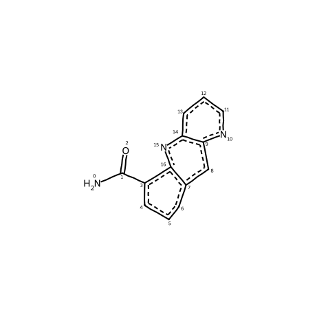 NC(=O)c1cccc2cc3ncccc3nc12